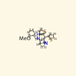 COc1ccccc1CNC1C2CCN(CC2)C1C(c1cccs1)c1cccs1